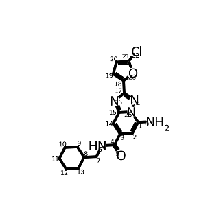 Nc1cc(C(=O)NCC2CCCCC2)cc2nc(-c3ccc(Cl)o3)nn12